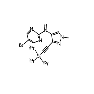 CC(C)[Si](C#Cc1nn(C)cc1Nc1ncc(Br)cn1)(C(C)C)C(C)C